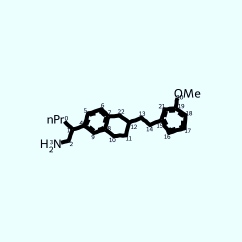 CCCC(CN)c1ccc2c(c1)CCC(CCc1cccc(OC)c1)C2